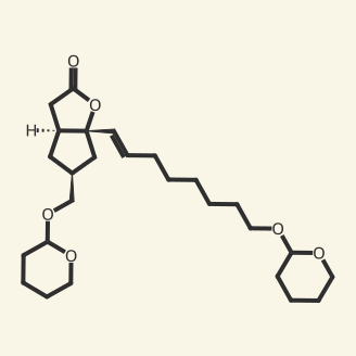 O=C1C[C@@H]2C[C@H](COC3CCCCO3)C[C@@]2(C=CCCCCCCOC2CCCCO2)O1